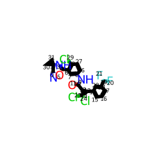 N#CC1(NC(=O)c2cc(NC(=O)C3C(c4cccc(C(F)F)c4)C3(Cl)Cl)ccc2Cl)CC1